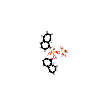 O=S(=O)(Oc1cccc2ccccc12)Oc1cccc2ccccc12.O=[SH](=O)O